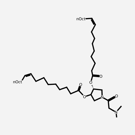 CCCCCCCC/C=C\CCCCCCCC(=O)OC1CN(C(=O)CN(C)C)C[C@H]1OC(=O)CCCCCCC/C=C\CCCCCCCC